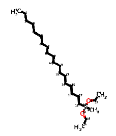 CCCCCCCCCCCCCCCCCCC[Si](C)(OCC)OCC